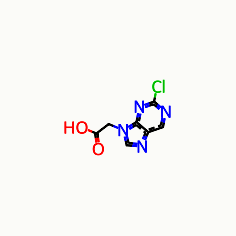 O=C(O)Cn1cnc2cnc(Cl)nc21